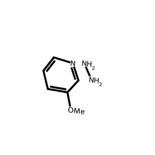 COc1cccnc1.NN